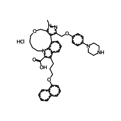 Cl.Cn1nc(COc2ccc(N3CCNCC3)cc2)c2c1COCCCCn1c(C(=O)O)c(CCCOc3cccc4ccccc34)c3cccc-2c31